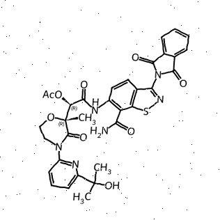 CC(=O)O[C@@H](C(=O)Nc1ccc2c(N3C(=O)c4ccccc4C3=O)nsc2c1C(N)=O)[C@@]1(C)OCCN(c2cccc(C(C)(C)O)n2)C1=O